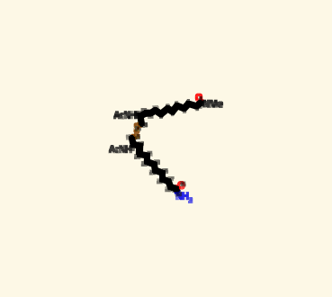 CNC(=O)CCCCCCCC/C=C/C(CSSC[C@@H](/C=C/CCCCCCCCC(N)=O)NC(C)=O)NC(C)=O